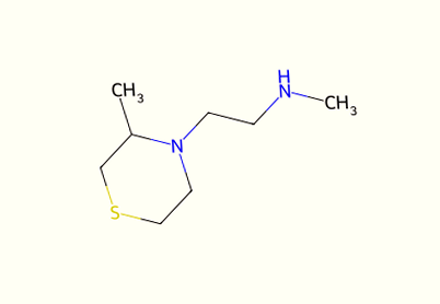 CNCCN1CCSCC1C